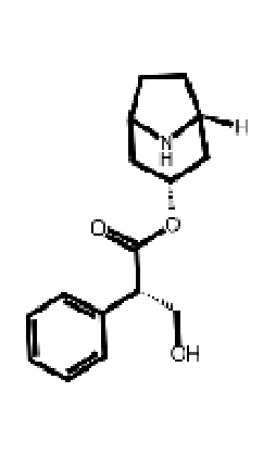 O=C(O[C@@H]1CC2CC[C@H](C1)N2)[C@H](CO)c1ccccc1